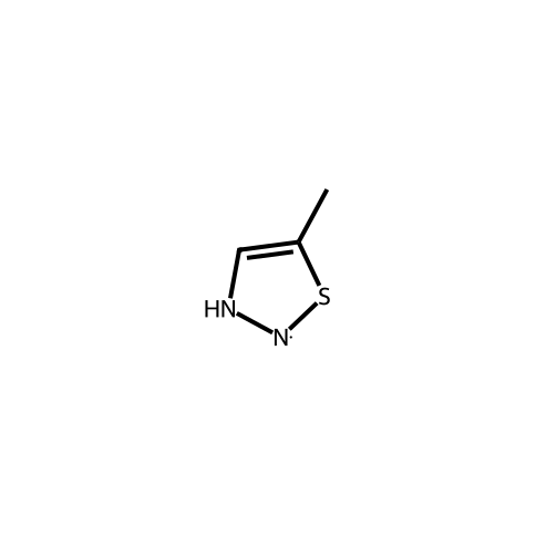 CC1=CN[N]S1